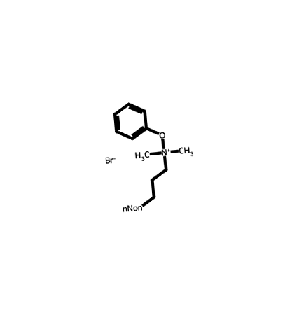 CCCCCCCCCCCC[N+](C)(C)Oc1ccccc1.[Br-]